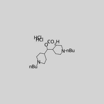 CCCCN1CCC(C(OC(=O)O)C2CCN(CCCC)CC2)CC1.Cl.Cl